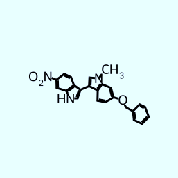 Cn1cc(-c2c[nH]c3cc([N+](=O)[O-])ccc23)c2ccc(OCc3ccccc3)cc21